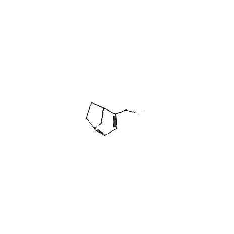 CNCC1=CC=C2CCC1C2